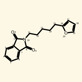 O=C1c2ccccc2C(=O)N1CCCCCc1ccco1